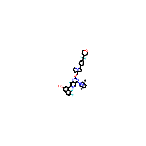 Oc1cc(-c2ncc3c(N4C[C@H]5CC[C@@H](C4)N5)nc(OCC45CCCN4C(c4ccc(C(F)(F)C6CCOCC6)cc4)CC5)nc3c2F)c2c(F)c(F)ccc2c1